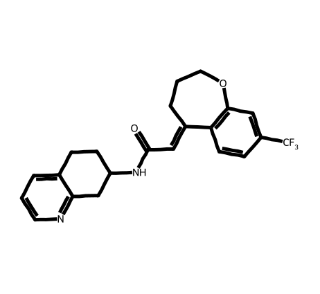 O=C(C=C1CCCOc2cc(C(F)(F)F)ccc21)NC1CCc2cccnc2C1